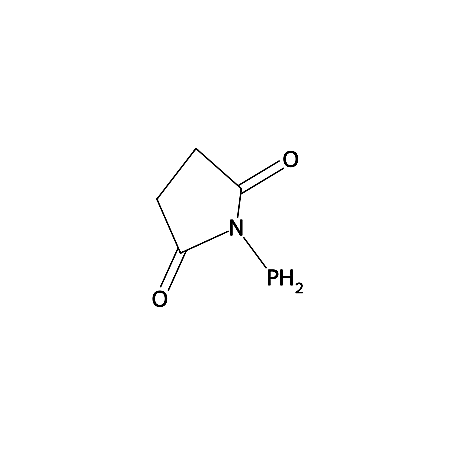 O=C1CCC(=O)N1P